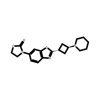 O=C1OCCN1c1ccc2nc([C@H]3C[C@H](N4CCCCC4)C3)sc2c1